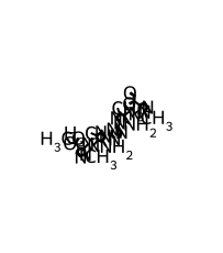 COC(=O)c1cnn(C)c1/N=N/c1c(C)nn(-c2ncnc(-n3nc(C)c(/N=N/c4c(C(=O)C=O)cnn4C)c3N)n2)c1N